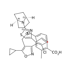 Cc1cc(-c2csc(N3[C@@H]4CC[C@H]3C[C@H](OCc3c(-c5c(Cl)cccc5Cl)noc3C3CC3)C4)n2)ccc1C(=O)O